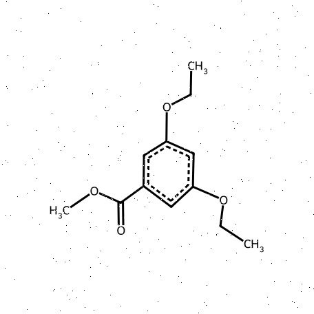 CCOc1cc(OCC)cc(C(=O)OC)c1